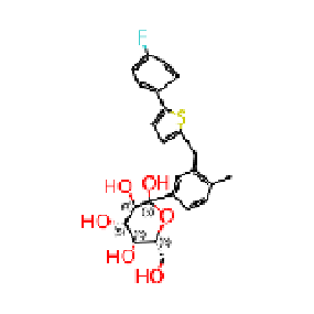 Cc1ccc([C@]2(O)O[C@H](CO)[C@H](O)[C@H](O)[C@H]2O)cc1Cc1ccc(-c2ccc(F)cc2)s1